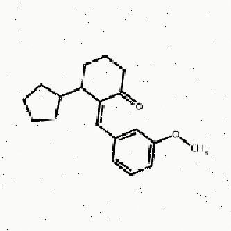 COc1cccc(C=C2C(=O)CCCC2C2CCCC2)c1